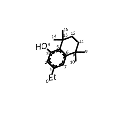 CCc1cc(O)c2c(c1)C(C)(C)CCC2(C)C